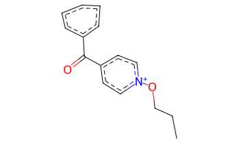 CCCO[n+]1ccc(C(=O)c2ccccc2)cc1